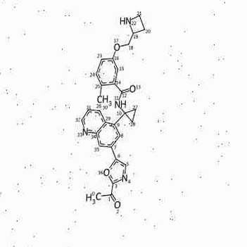 CC(=O)c1ncc(-c2cc(C3(NC(=O)c4cc(OCC5CCN5)ccc4C)CC3)c3cccnc3c2)o1